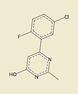 Cc1nc(O)cc(-c2cc(Cl)ccc2F)n1